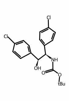 CC(C)(C)OC(=O)N[C@H](c1ccc(Cl)cc1)[C@@H](O)c1ccc(Cl)cc1